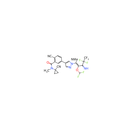 CN/C(=C(/OC(F)F)C(=N)C(F)(F)C(F)(F)F)n1cc(-c2ccc(C#N)c(C(=O)N(C)C3(C#N)CC3)c2)cn1